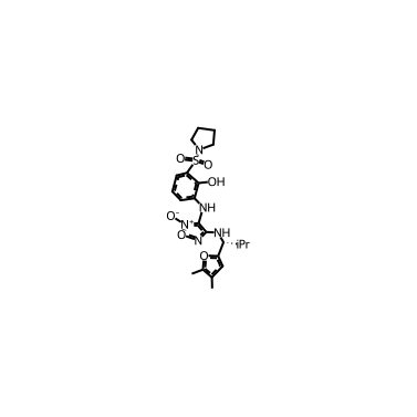 Cc1cc([C@H](Nc2no[n+]([O-])c2Nc2cccc(S(=O)(=O)N3CCCC3)c2O)C(C)C)oc1C